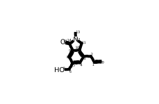 C=CCc1cc(CO)cc2c1CN(C)C2=O